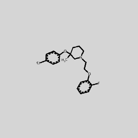 CC1(Oc2ccc(Cl)cc2)CCCN(CCOc2ccccc2F)C1